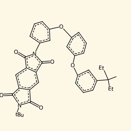 CCC(C)(CC)c1cccc(Oc2cccc(Oc3cccc(-n4c(=O)c5cc6c(=O)n(C(C)(C)C)c(=O)c6cc5c4=O)c3)c2)c1